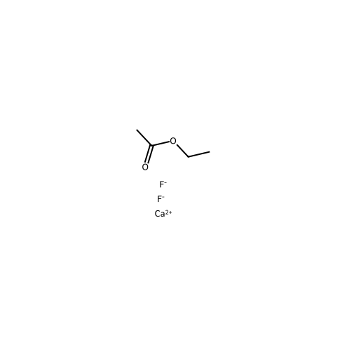 CCOC(C)=O.[Ca+2].[F-].[F-]